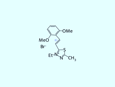 CC[n+]1nc(C)sc1/C=C/c1c(OC)cccc1OC.[Br-]